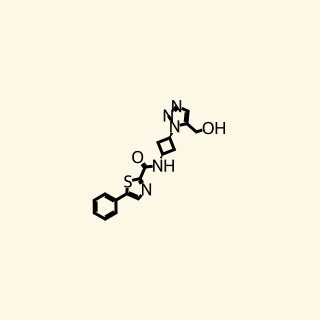 O=C(N[C@H]1C[C@H](n2nncc2CO)C1)c1ncc(-c2ccccc2)s1